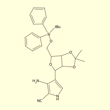 CC1(C)OC2C(CO[Si](c3ccccc3)(c3ccccc3)C(C)(C)C)OC(c3c[nH]c(C#N)c3N)C2O1